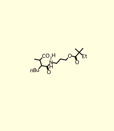 CCCCC(C(=O)NCCCOC(=O)C(C)(C)CC)C(C)C(=O)O